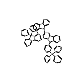 c1ccc(C2(c3ccccc3)c3ccccc3-c3cccc(-c4cccc5c6ccccc6n(-c6ccc7c(c6)c6ccccc6n7-c6cccc([Si](c7ccccc7)(c7ccccc7)c7ccccc7)c6)c45)c32)cc1